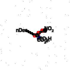 CCCCCCCCCCCCCCCCCCOc1cc(OCCCOc2cccc([N+](=O)[O-])c2)cc(N(CC(=O)O)CC(=O)O)c1